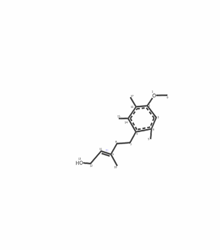 COc1cc(C)c(CC/C(C)=C/CO)c(C)c1C